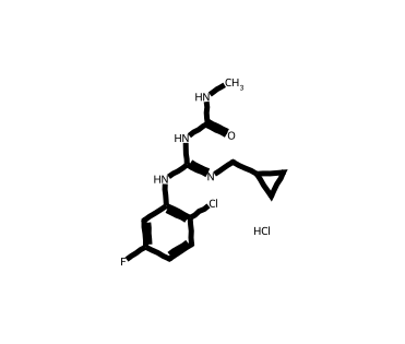 CNC(=O)NC(=NCC1CC1)Nc1cc(F)ccc1Cl.Cl